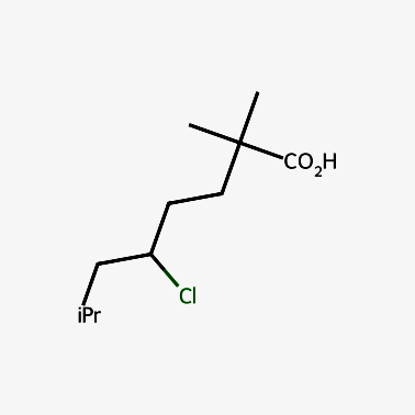 CC(C)CC(Cl)CCC(C)(C)C(=O)O